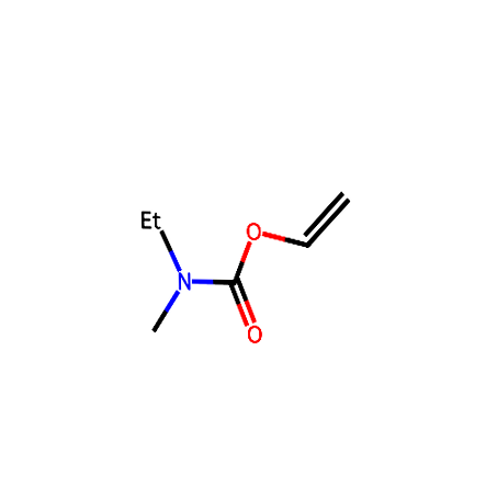 C=COC(=O)N(C)CC